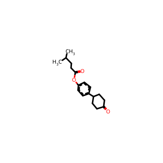 CC(C)CCC(=O)Oc1ccc(C2CCC(=O)CC2)cc1